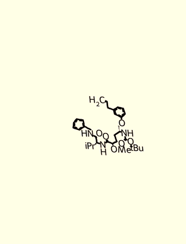 C=CCc1cccc(OC[C@@H](CC[C@@H](OC)C(=O)N[C@H](C(=O)NCc2ccccc2)C(C)C)NC(=O)OC(C)(C)C)c1